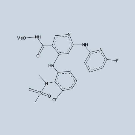 CONC(=O)c1cnc(Nc2cccc(F)n2)cc1Nc1cccc(Cl)c1N(C)S(C)(=O)=O